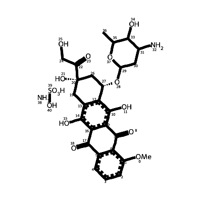 COc1cccc2c1C(=O)c1c(O)c3c(c(O)c1C2=O)C[C@@](O)(C(=O)CO)C[C@@H]3OC1CC(N)C(O)C(C)O1.N.O=S(=O)(O)O